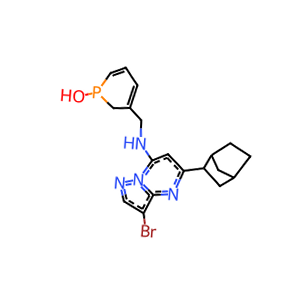 OP1C=CC=C(CNc2cc(C3CC4CCC3C4)nc3c(Br)cnn23)C1